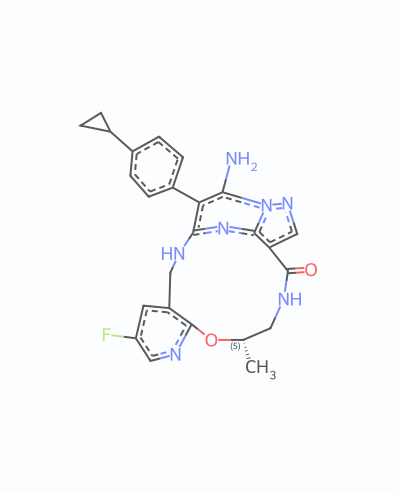 C[C@H]1CNC(=O)c2cnn3c(N)c(-c4ccc(C5CC5)cc4)c(nc23)NCc2cc(F)cnc2O1